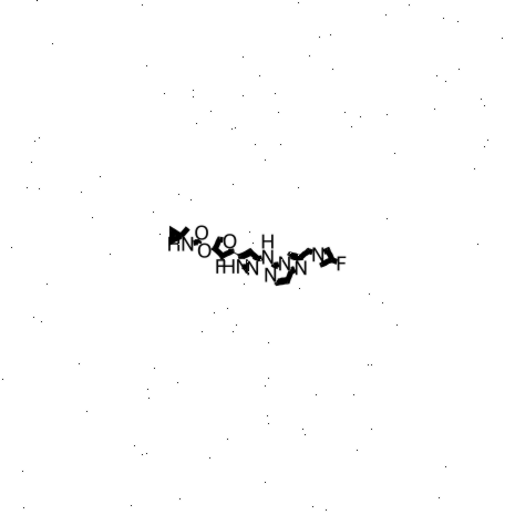 CC1(NC(=O)O[C@@H]2CO[C@H](c3cc(Nc4nccc5nc(CN6CC(F)C6)cn45)n[nH]3)[C@H]2F)CC1